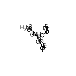 CC(C)/C=C\C(=C/CS(=O)(=O)N1C[C@H](CNC(=O)CCCS(N)(=O)=O)OC2(CCC(c3cccc(C(F)(F)F)n3)CC2)C1)C(F)(F)F